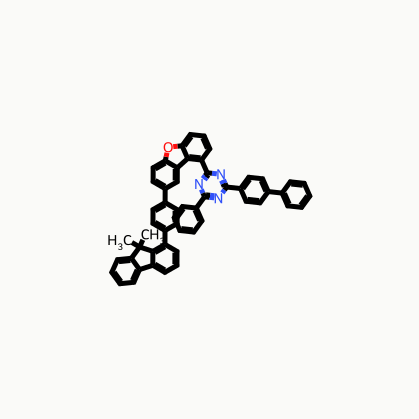 CC1(C)c2ccccc2-c2cccc(-c3ccc(-c4ccc5oc6cccc(-c7nc(-c8ccccc8)nc(-c8ccc(-c9ccccc9)cc8)n7)c6c5c4)cc3)c21